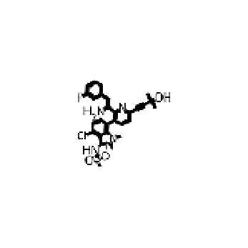 Cn1nc(NS(C)(=O)=O)c2c(Cl)ccc(-c3ccc(C#CC(C)(C)O)nc3C(N)Cc3cccc(F)c3)c21